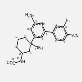 CC(C)(C)[N+]1(c2cc(-c3ccc(C#N)c(F)c3)nc(N)n2)CCCC(NC(=O)[O-])C1